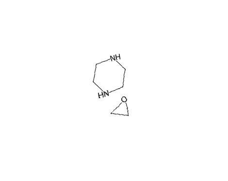 C1CNCCN1.C1CO1